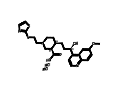 COc1ccc2nccc([C@@H](O)CC[C@@H]3CCN(CCSc4nccs4)C[C@@H]3C(=O)O)c2c1.Cl.Cl